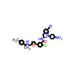 Cc1ccc([C@@H](C)NCc2ccc(-c3ccc(Cl)c(C(=O)N[C@@H](CNC4CCC(N)CC4)Cc4ccc(C#N)cc4)c3)o2)cc1